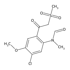 COc1cc(C(=O)CS(C)(=O)=O)c(N(C)C=O)cc1Cl